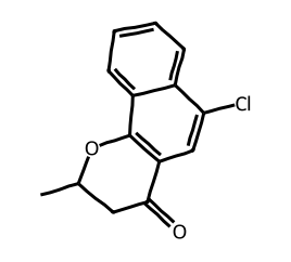 CC1CC(=O)c2cc(Cl)c3ccccc3c2O1